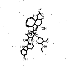 CCNC1COC(OC2C(O[C@H]3C#C/C=C\C#CC4=C(NC(=O)OC)C(=O)C[C@H](O)/C(=C/CS(C)(=S)=S)C43)OC(C)C(C(=O)C3=NCCc4c3[nH]c3ccc(O)cc43)C2O)CC1OC